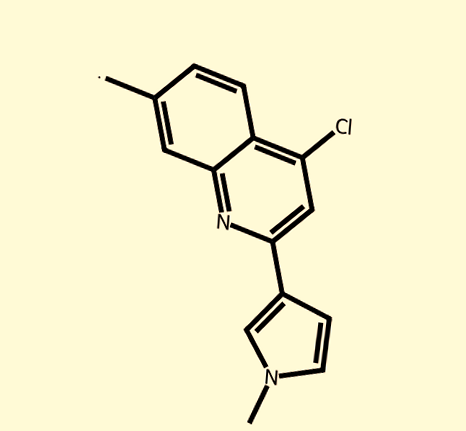 [CH2]c1ccc2c(Cl)cc(-c3ccn(C)c3)nc2c1